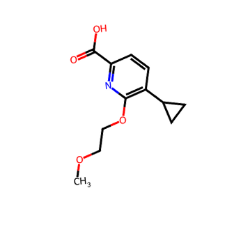 COCCOc1nc(C(=O)O)ccc1C1CC1